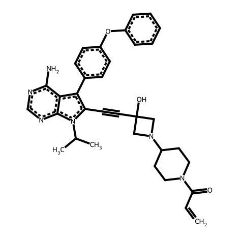 C=CC(=O)N1CCC(N2CC(O)(C#Cc3c(-c4ccc(Oc5ccccc5)cc4)c4c(N)ncnc4n3C(C)C)C2)CC1